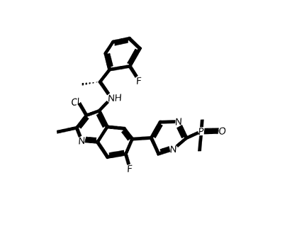 Cc1nc2cc(F)c(-c3cnc(P(C)(C)=O)nc3)cc2c(N[C@H](C)c2ccccc2F)c1Cl